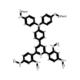 CCCCCOc1ccc(N(c2ccc(OCCCCC)cc2)c2ccc(-c3cc(-c4ccc(OCC)cc4OCC)nc(-c4ccc(OCC)cc4OCC)c3)cc2)cc1